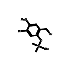 COc1cc(CBr)c(O[Si](C)(C)C(C)(C)C)cc1Br